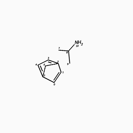 C1=CC2=CC=C1C2.CC(C)N